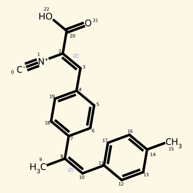 [C-]#[N+]/C(=C\c1ccc(/C(C)=C\c2ccc(C)cc2)cc1)C(=O)O